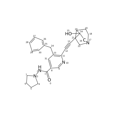 O=C(NN1CCCC1)c1cnc(C#CC2(O)CN3CCC2CC3)c(Cc2ccccc2)c1